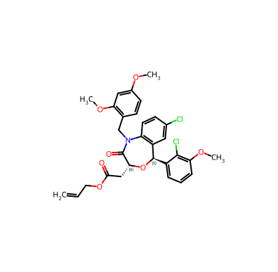 C=CCOC(=O)C[C@H]1O[C@H](c2cccc(OC)c2Cl)c2cc(Cl)ccc2N(Cc2ccc(OC)cc2OC)C1=O